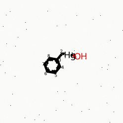 [OH][Hg][CH2]c1ccccc1